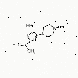 Br.CCCN1CCN(C2=NC(N(C)C)SS2)CC1